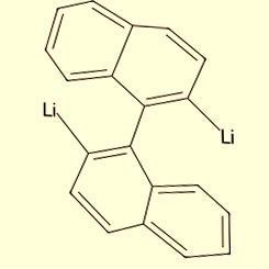 [Li][c]1ccc2ccccc2c1-c1[c]([Li])ccc2ccccc12